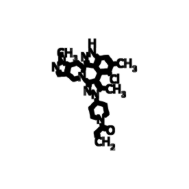 C=CC(=O)N1CCC(n2nc(N3CCc4c(cnn4C)C3)c(-c3c(Cl)c(C)cc4[nH]ncc34)c2C)CC1